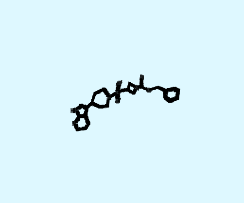 O=C(OCc1ccccc1)N1CC(S(=O)(=O)N2CCC(c3c[nH]c4ncccc34)CC2)C1